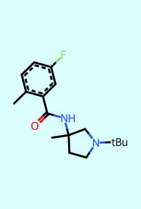 Cc1ccc(F)cc1C(=O)NC1(C)CCN(C(C)(C)C)C1